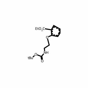 CCOC(=O)c1ccccc1OCCNC(=O)OC(C)(C)C